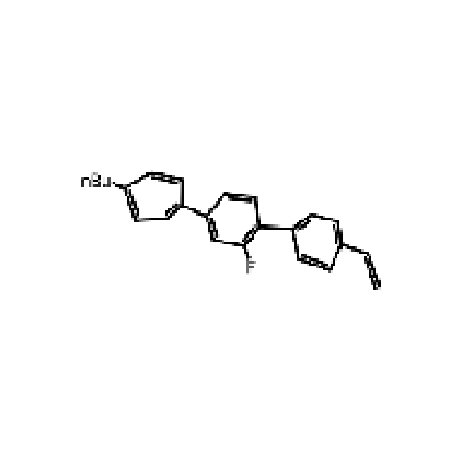 C=Cc1ccc(-c2ccc(-c3ccc(CCCC)cc3)cc2F)cc1